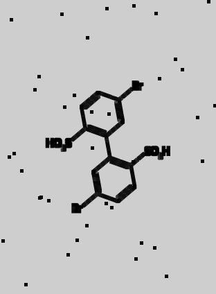 O=S(=O)(O)c1ccc(Br)cc1-c1cc(Br)ccc1S(=O)(=O)O